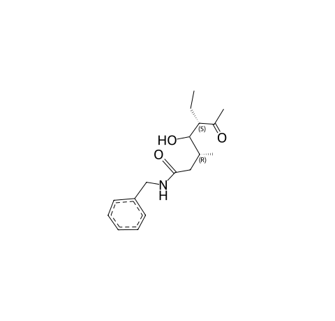 CC[C@H](C(C)=O)C(O)[C@H](C)CC(=O)NCc1ccccc1